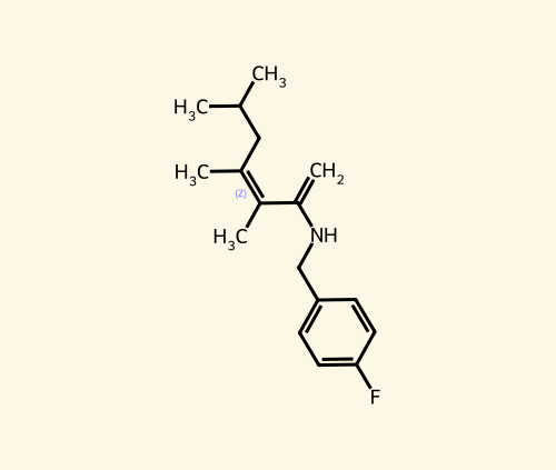 C=C(NCc1ccc(F)cc1)/C(C)=C(/C)CC(C)C